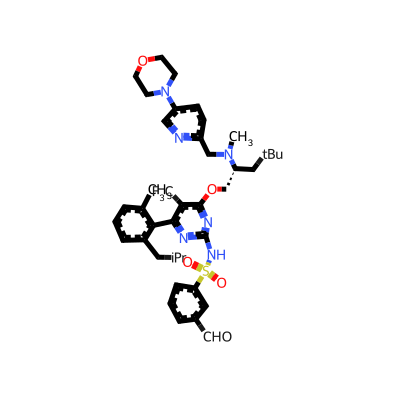 Cc1cccc(CC(C)C)c1-c1nc(NS(=O)(=O)c2cccc(C=O)c2)nc(OC[C@@H](CC(C)(C)C)N(C)Cc2ccc(N3CCOCC3)cn2)c1C(F)(F)F